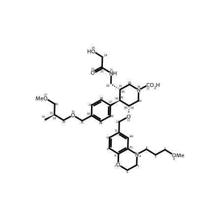 COCCCN1CCOc2ccc(CO[C@H]3CN(C(=O)O)C[C@@H](CNC(=O)CO)[C@@H]3c3ccc(COC[C@@H](C)COC)cc3)cc21